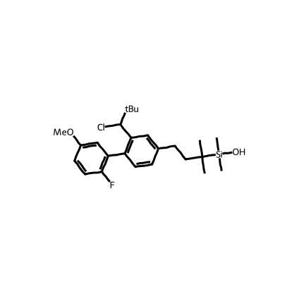 COc1ccc(F)c(-c2ccc(CCC(C)(C)[Si](C)(C)O)cc2C(Cl)C(C)(C)C)c1